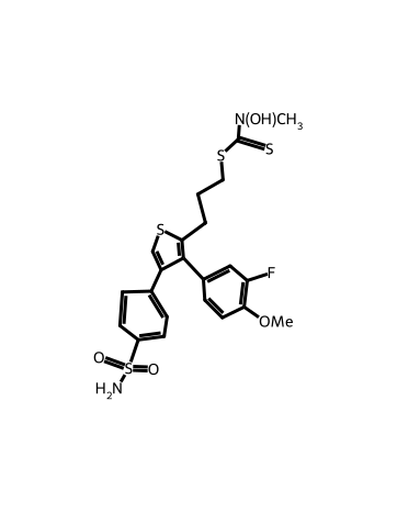 COc1ccc(-c2c(-c3ccc(S(N)(=O)=O)cc3)csc2CCCSC(=S)N(C)O)cc1F